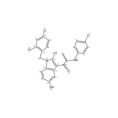 O=C(Nc1ccc(Cl)cc1)C(=O)c1c(Cl)n(Cc2ccc(Cl)cc2Cl)c2ccc(O)cc12